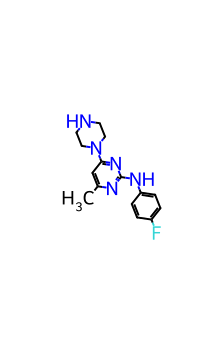 Cc1cc(N2CCNCC2)nc(Nc2ccc(F)cc2)n1